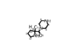 CC1(C(=O)N2CCNCC2)CCCN1